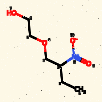 CCC(COCCO)[N+](=O)[O-]